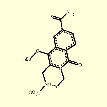 CCCCOc1c(CNC(=O)O)n(CC(C)C)c(=O)c2ccc(C(N)=S)cc12